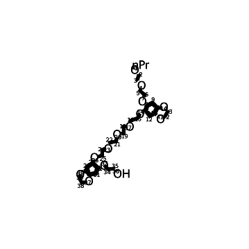 CCCOCCOCCOc1cc2c(cc1OCCOCCOCCOCCOc1cc3c(cc1OCCO)OCCO3)OCCO2